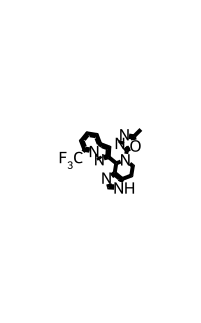 Cc1nnc(N2CCc3[nH]cnc3C2c2cc3cccc(C(F)(F)F)n3n2)o1